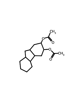 CC(=O)OC1CC2CC3CCCCC3C2CC1OC(C)=O